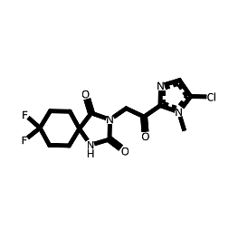 Cn1c(Cl)cnc1C(=O)CN1C(=O)NC2(CCC(F)(F)CC2)C1=O